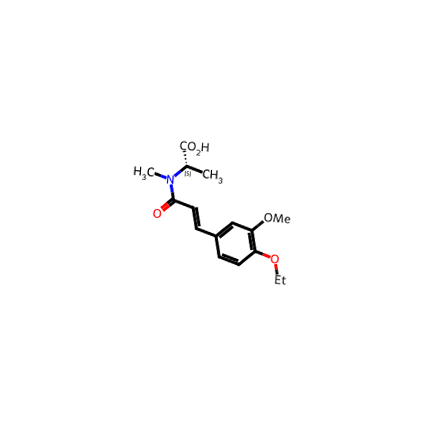 CCOc1ccc(C=CC(=O)N(C)[C@@H](C)C(=O)O)cc1OC